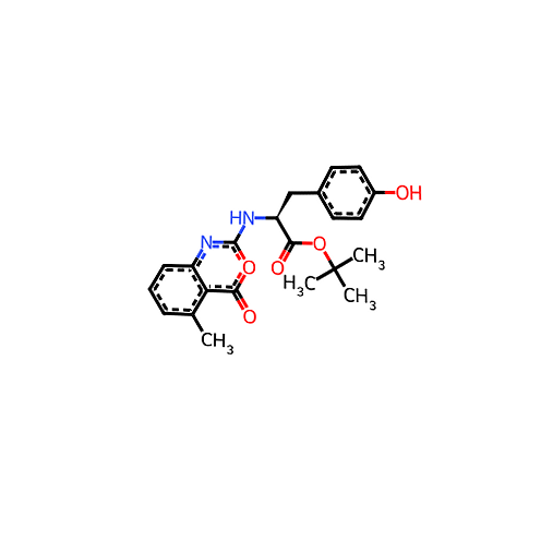 Cc1cccc2nc(N[C@@H](Cc3ccc(O)cc3)C(=O)OC(C)(C)C)oc(=O)c12